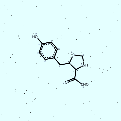 O=CC(=O)C1NCSC1Cc1ccc(O)cc1